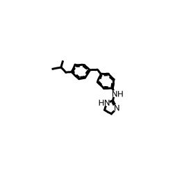 CC(C)Cc1ccc(Cc2ccc(NC3=NCCN3)cc2)cc1